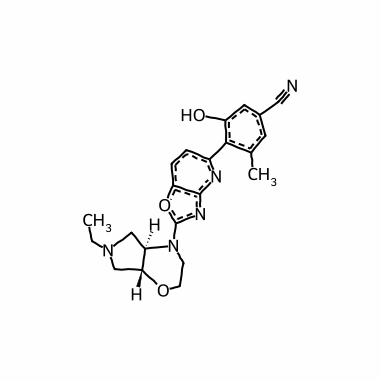 CCN1C[C@@H]2[C@@H](C1)OCCN2c1nc2nc(-c3c(C)cc(C#N)cc3O)ccc2o1